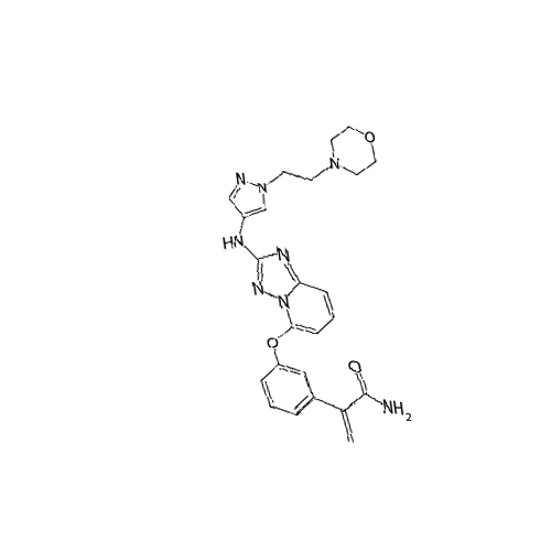 C=C(C(N)=O)c1cccc(Oc2cccc3nc(Nc4cnn(CCN5CCOCC5)c4)nn23)c1